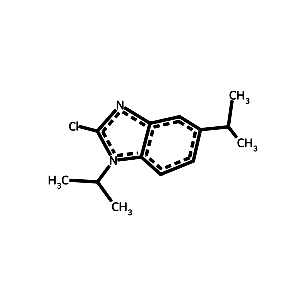 CC(C)c1ccc2c(c1)nc(Cl)n2C(C)C